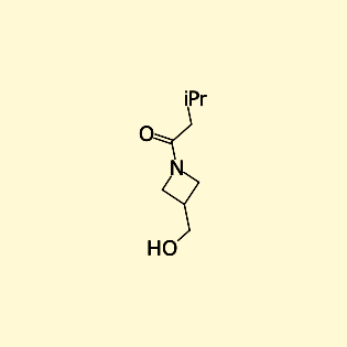 CC(C)CC(=O)N1CC(CO)C1